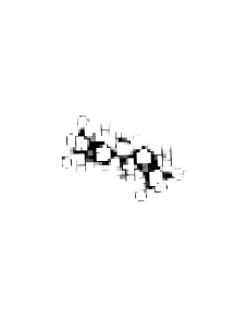 O=C1OC(=O)[C@@H]2C3C[C@H](C12)[C@@]1(CC[C@]2(C[C@@H]4C[C@H]2C2C(=O)OC(=O)[C@H]24)C1=O)C3